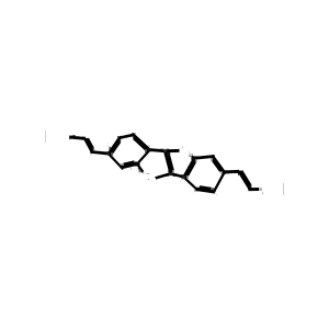 C/C=C/c1ccc2c(c1)sc1c3ccc(/C=C/C)cc3sc21